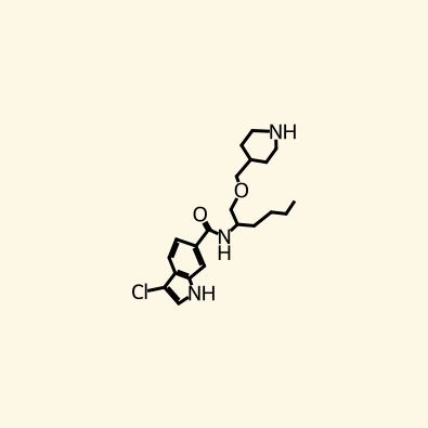 CCCCC(COCC1CCNCC1)NC(=O)c1ccc2c(Cl)c[nH]c2c1